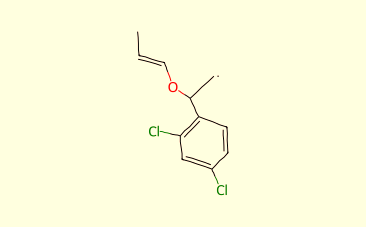 [CH2]C(OC=CC)c1ccc(Cl)cc1Cl